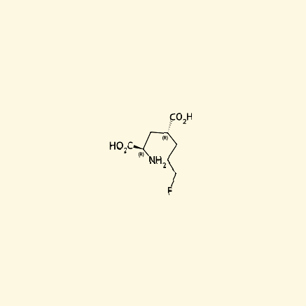 N[C@H](C[C@@H](CCCF)C(=O)O)C(=O)O